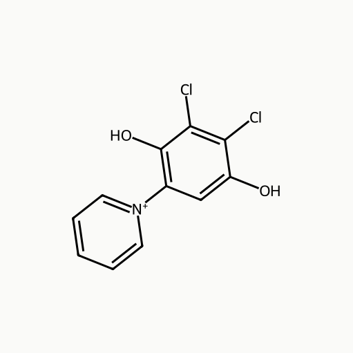 Oc1cc(-[n+]2ccccc2)c(O)c(Cl)c1Cl